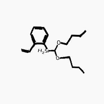 C=Cc1ccccc1[SiH2]C(OCCCC)OCCCC